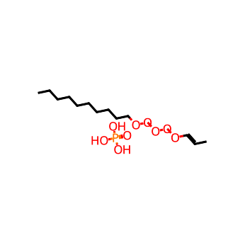 CC=COOOOOCCCCCCCCCC.O=P(O)(O)O